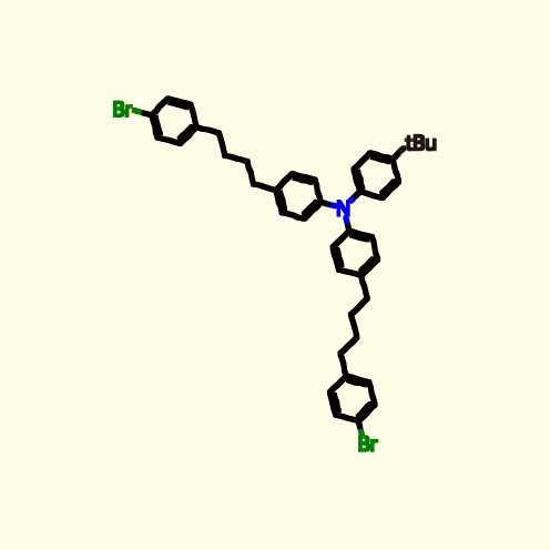 CC(C)(C)c1ccc(N(c2ccc(CCCCc3ccc(Br)cc3)cc2)c2ccc(CCCCc3ccc(Br)cc3)cc2)cc1